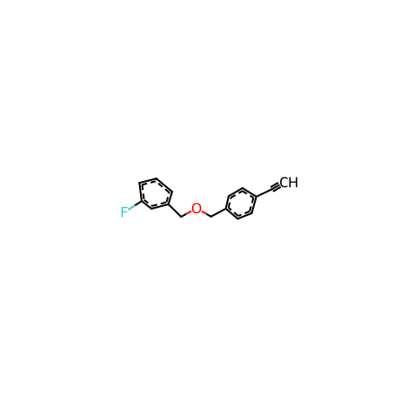 C#Cc1ccc(COCc2cccc(F)c2)cc1